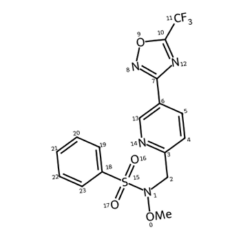 CON(Cc1ccc(-c2noc(C(F)(F)F)n2)cn1)S(=O)(=O)c1ccccc1